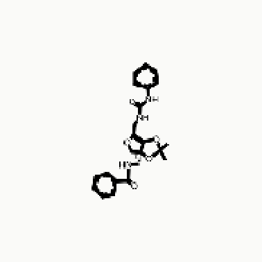 CC1(C)OC2=C(CNC(=O)Nc3ccccc3)OC[C@]2(CNC(=O)c2ccccc2)O1